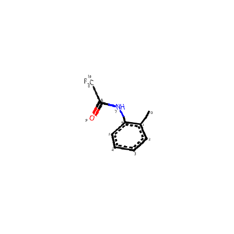 Cc1cc[c]cc1NC(=O)C(F)(F)F